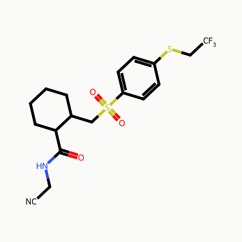 N#CCNC(=O)C1CCCCC1CS(=O)(=O)c1ccc(SCC(F)(F)F)cc1